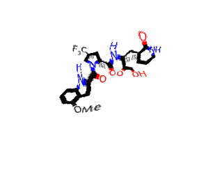 COc1cccc2[nH]c(C(=O)N3C[C@H](C(F)(F)F)C[C@H]3C(=O)N[C@@H](C[C@@H]3CCCNC3=O)C(=O)CO)cc12